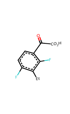 CCc1c(F)ccc(C(=O)C(=O)O)c1F